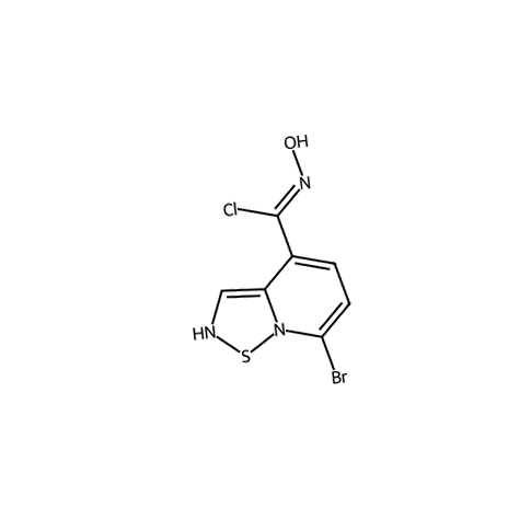 ON=C(Cl)C1=CC=C(Br)N2SNC=C12